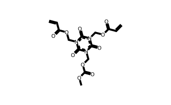 C=CC(=O)OCn1c(=O)n(COC(=O)C=C)c(=O)n(COC(=O)OC)c1=O